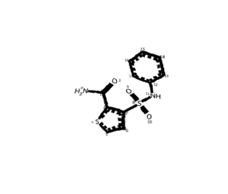 NC(=O)c1sccc1S(=O)(=O)Nc1ccccc1